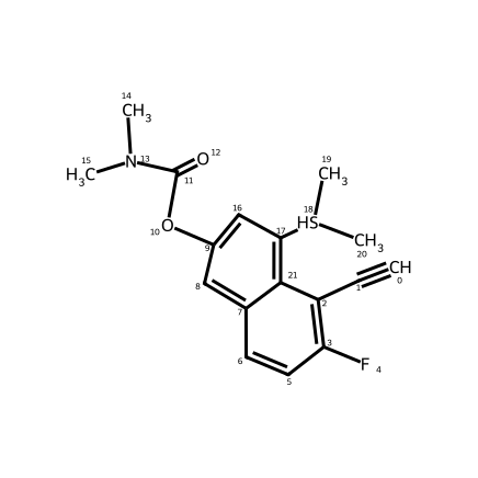 C#Cc1c(F)ccc2cc(OC(=O)N(C)C)cc([SH](C)C)c12